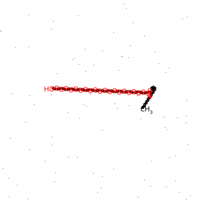 CCCCCCCCCOC=C(Cc1ccccc1)C(=O)OCCOCCOCCOCCOCCOCCOCCOCCOCCOCCOCCOCCOCCOCCOCCOCCOCCOCCOCCOCCO